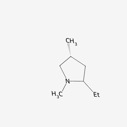 CCC1C[C@@H](C)CN1C